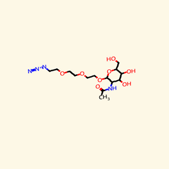 CC(=O)NC1C(OCCOCCOCCN=[N+]=[N-])OC(CO)C(O)C1O